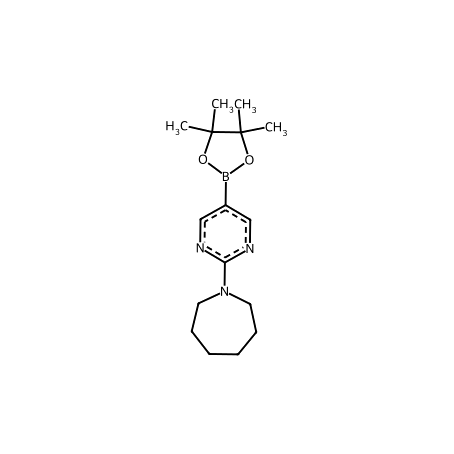 CC1(C)OB(c2cnc(N3CCCCCC3)nc2)OC1(C)C